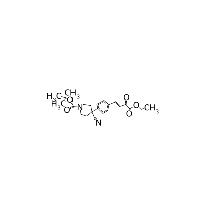 CCOC(=O)C(=O)C=Cc1ccc(C2(C#N)CCN(C(=O)OC(C)(C)C)CC2)cc1